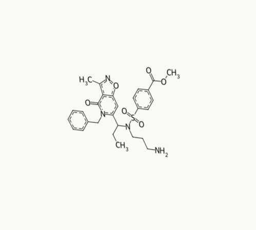 CCC(c1cc2onc(C)c2c(=O)n1Cc1ccccc1)N(CCCN)S(=O)(=O)c1ccc(C(=O)OC)cc1